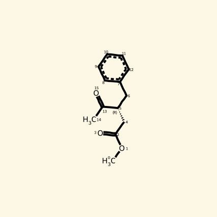 COC(=O)C[C@@H](Cc1ccccc1)C(C)=O